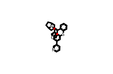 c1cncc(-c2ccc3c(c2)Sc2ccccc2C3=C2CC3CCC(C2)N3Cc2ccoc2)c1